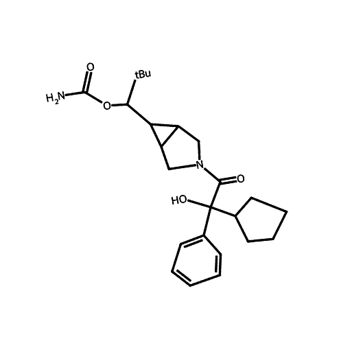 CC(C)(C)C(OC(N)=O)C1C2CN(C(=O)C(O)(c3ccccc3)C3CCCC3)CC21